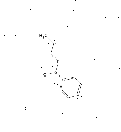 C[CH]CN[S+]([O-])c1ccccc1